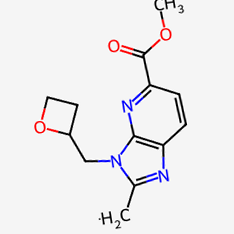 [CH2]c1nc2ccc(C(=O)OC)nc2n1CC1CCO1